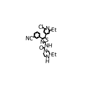 CCc1cc(-c2sc(NC(=O)N3CCN[C@@H](CC)C3)nc2-c2cccc(C#N)c2)cc(Cl)n1